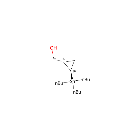 CCC[CH2][Sn]([CH2]CCC)([CH2]CCC)[C@@H]1C[C@H]1CO